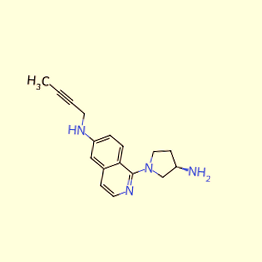 CC#CCNc1ccc2c(N3CC[C@@H](N)C3)nccc2c1